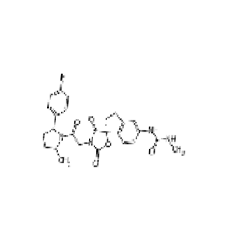 CNC(=O)Nc1ccc2c(c1)CC[C@@]21OC(=O)N(CC(=O)N2C(C)CCC2c2ccc(F)cc2)C1=O